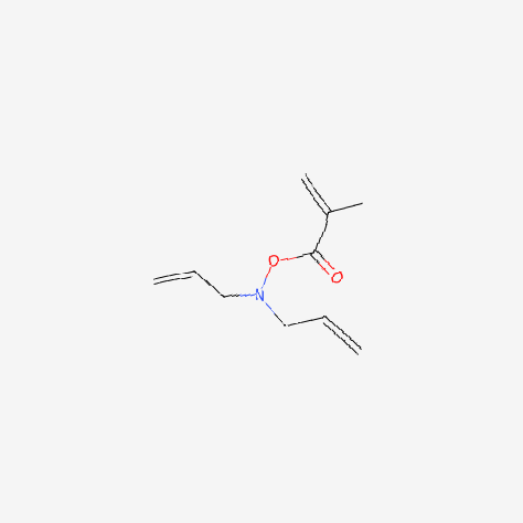 C=CCN(CC=C)OC(=O)C(=C)C